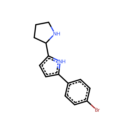 Brc1ccc(-c2ccc(C3CCCN3)[nH]2)cc1